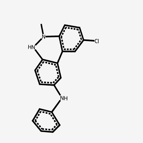 CN1Nc2ccc(Nc3ccccc3)cc2-c2cc(Cl)ccc21